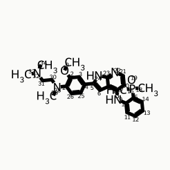 COc1cc(-c2cc3c(Nc4ccccc4P(C)(C)=O)ccnc3[nH]2)ccc1N(C)CCN(C)C